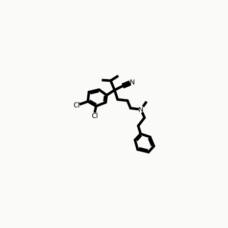 CC(C)C(C#N)(CCCN(C)CCc1ccccc1)c1ccc(Cl)c(Cl)c1